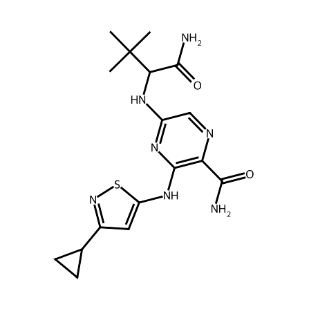 CC(C)(C)C(Nc1cnc(C(N)=O)c(Nc2cc(C3CC3)ns2)n1)C(N)=O